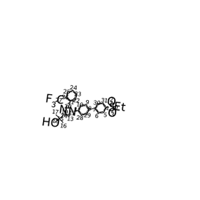 CCS(=O)(=O)c1ccc(-c2ccc(-n3cc(C(C)(C)O)nc3-c3ccccc3C(F)(F)F)cc2)cc1